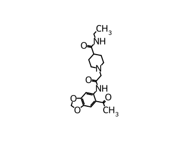 CCNC(=O)C1CCN(CC(=O)Nc2cc3c(cc2C(C)=O)OCO3)CC1